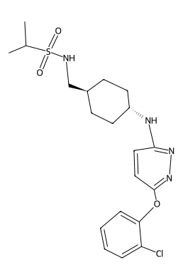 CC(C)S(=O)(=O)NC[C@H]1CC[C@H](Nc2ccc(Oc3ccccc3Cl)nn2)CC1